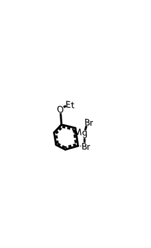 CCOc1c[c]ccc1.[Br][Mg][Br]